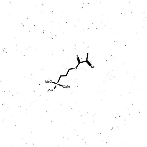 CO[Si](CCCOC(=O)C(C)=N)(OC)OC